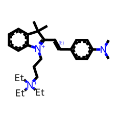 CC[N+](CC)(CC)CCC[N+]1=C(/C=C/c2ccc(N(C)C)cc2)C(C)(C)c2ccccc21